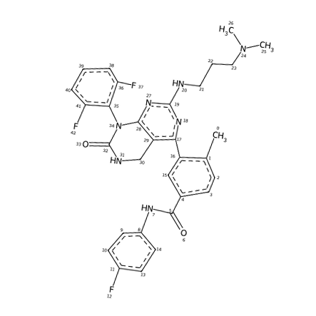 Cc1ccc(C(=O)Nc2ccc(F)cc2)cc1-c1nc(NCCCN(C)C)nc2c1CNC(=O)N2c1c(F)cccc1F